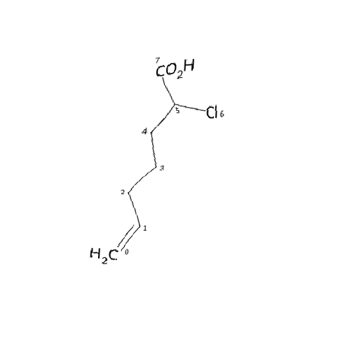 C=CCCCC(Cl)C(=O)O